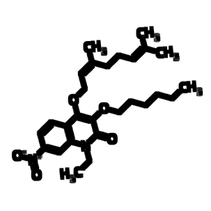 CCCCCCOc1c(OCC=C(C)CCC=C(C)C)c2ccc([N+](=O)[O-])cc2n(CC)c1=O